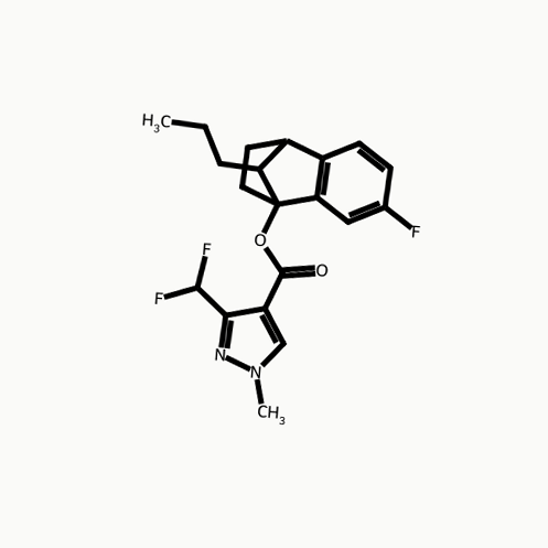 CCCC1C2CCC1(OC(=O)c1cn(C)nc1C(F)F)c1cc(F)ccc12